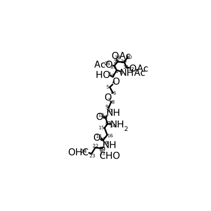 CC(=O)NC(C(O)OCCOCCNC(=O)[C@@H](N)CCC(=O)N[C@H](C=O)CCC=O)C(OC(C)=O)C(OC(C)=O)C(C)COC(C)=O